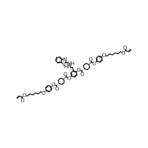 C=CC(=O)OCCCCCCOc1ccc(OC(=O)[C@H]2CC[C@H](C(=O)Oc3ccc(OC(=O)[C@H]4CC[C@H](C(=O)Oc5ccc(OCCCCCCOC(=O)C=C)cc5)CC4)c(CNNc4nc5ccccc5s4)c3)CC2)cc1